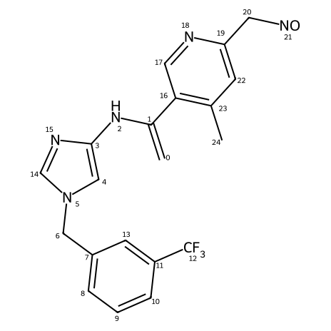 C=C(Nc1cn(Cc2cccc(C(F)(F)F)c2)cn1)c1cnc(CN=O)cc1C